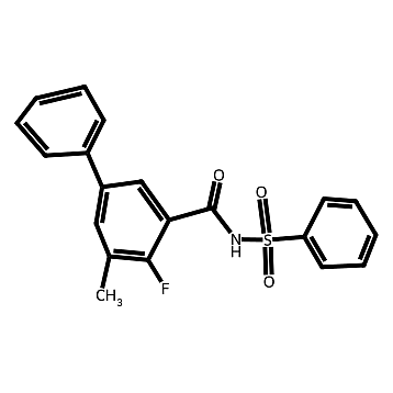 Cc1cc(-c2ccccc2)cc(C(=O)NS(=O)(=O)c2ccccc2)c1F